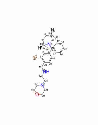 Brc1cc(CN2C[C@@H]3CC[C@H]2Cc2ccccc2C3)ccc1CNCCN1CCOCC1